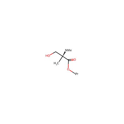 CN[C@@](C)(CO)C(=O)OC(C)C